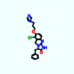 O=C1NC2=Nc3ccc(OCCCn4ccnc4)c(Cl)c3CN2C1Cc1ccccc1